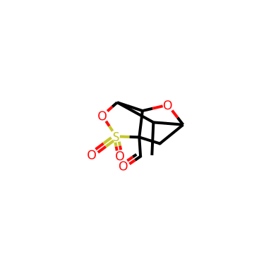 CC1C2CC3(C=O)C(O2)C1OS3(=O)=O